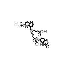 COc1ccc2nccc(CN(CCCC(=O)O)CCC[C@H]3CN(c4ccc5c(c4)NC(=O)CS5)C(=O)O3)c2n1